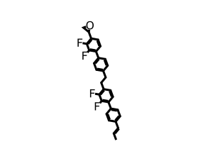 C/C=C/c1ccc(-c2ccc(CCc3ccc(-c4ccc(C5CO5)c(F)c4F)cc3)c(F)c2F)cc1